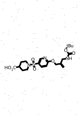 C=C(CNC(=O)OC(C)(C)C)COc1ccc(S(=O)(=O)N2CCC(C(=O)O)CC2)cn1